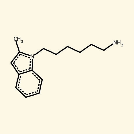 Cc1cc2ccccc2n1CCCCCCN